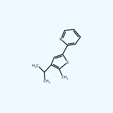 Cc1sc(-c2ccccn2)cc1C(C)C